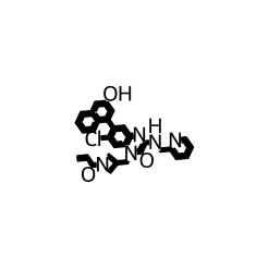 C=CC(=O)N1CC(Cn2c(=O)c(NCc3ccccn3)nc3cc(-c4cc(O)cc5ccccc45)c(Cl)cc32)C1